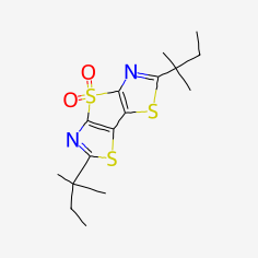 CCC(C)(C)c1nc2c(s1)-c1sc(C(C)(C)CC)nc1S2(=O)=O